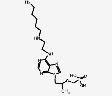 CC(Cn1cnc2c(NCCNCCCCCS)ncnc21)OCP(=O)(O)O